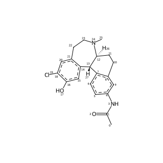 CC(=O)Nc1ccc2c(c1)CC[C@H]1[C@H]2c2cc(O)c(Cl)cc2CCN1C